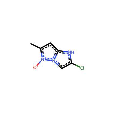 Cc1cc2[nH]c(Cl)cn2[n+]1[O-]